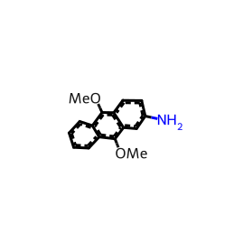 COc1c2ccccc2c(OC)c2cc(N)ccc12